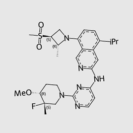 CO[C@@H]1CCN(c2nccc(Nc3cc4c(C(C)C)ccc(N5C[C@H](S(C)(=O)=O)[C@H]5C)c4cn3)n2)C[C@]1(C)F